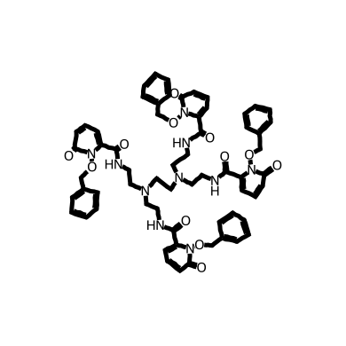 O=C(NCCN(CCNC(=O)c1cccc(=O)n1OCc1ccccc1)CCN(CCNC(=O)c1cccc(=O)n1OCc1ccccc1)CCNC(=O)c1cccc(=O)n1OCc1ccccc1)c1cccc(=O)n1OCc1ccccc1